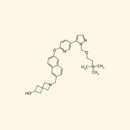 C[Si](C)(C)CCOCn1nccc1-c1ccc(Oc2ccc3cc(CN4CC5(CC(O)C5)C4)ccc3c2)nc1